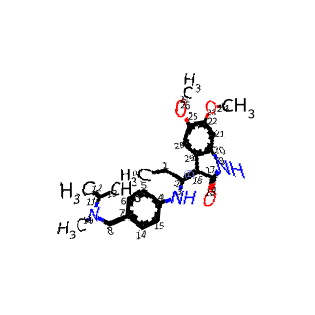 CC/C(Nc1ccc(CN(C)C(C)C)cc1)=C1/C(=O)Nc2cc(OC)c(OC)cc21